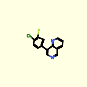 Fc1cc(-c2cncc3cc[c]nc23)ccc1Cl